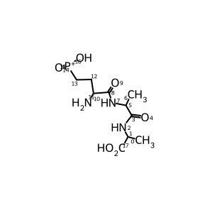 CC(NC(=O)C(C)NC(=O)C(N)CC[P+](=O)O)C(=O)O